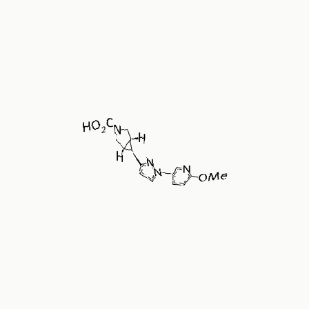 COc1ccc(-n2ccc([C@H]3[C@@H]4CN(C(=O)O)C[C@@H]43)n2)cn1